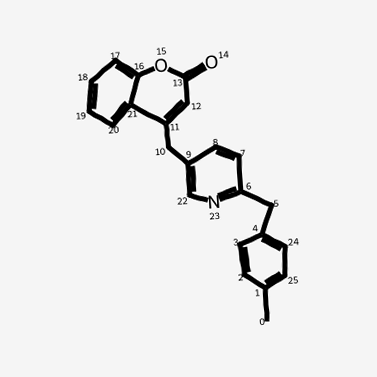 Cc1ccc(Cc2ccc(Cc3cc(=O)oc4ccccc34)cn2)cc1